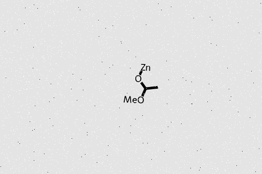 COC(C)[O][Zn]